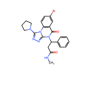 CNC(=O)CC(c1ccccc1)n1c(=O)c2cc(Br)ccc2n2c(N3CCCC3)nnc12